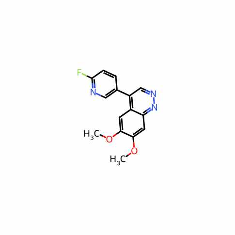 COc1cc2nncc(-c3ccc(F)nc3)c2cc1OC